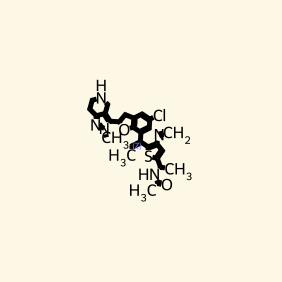 C=Nc1cc(C(C)NC(C)=O)sc1/C(=C\C)c1cc(Cl)cc2c1OC(c1c3c(nn1C)CCNC3)C2